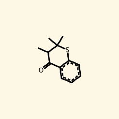 CC1C(=O)c2ccccc2SC1(C)C